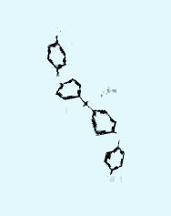 CC(C)(c1ccc(Oc2ccc(N)cc2)cc1)c1ccc(Oc2ccc(N)cc2)cc1.N.N